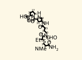 CCC(SC[C@H](NC)C(N)=O)C(=O)N(C=O)CCCC(=O)N[C@H]1CN[C@H](C(=O)N2CCC[C@H]2B(O)O)C1